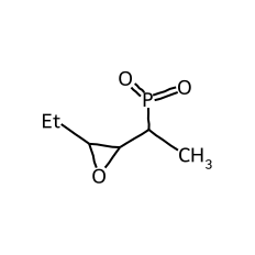 CCC1OC1C(C)P(=O)=O